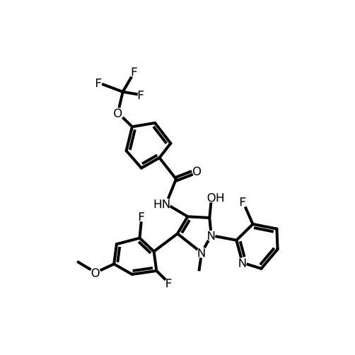 COc1cc(F)c(C2=C(NC(=O)c3ccc(OC(F)(F)F)cc3)C(O)N(c3ncccc3F)N2C)c(F)c1